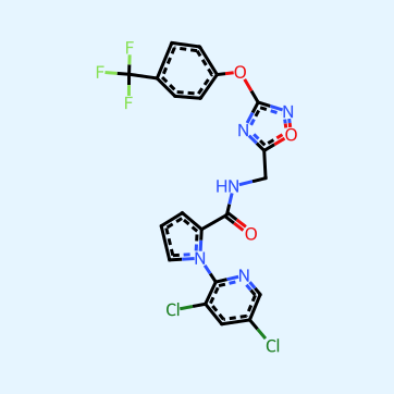 O=C(NCc1nc(Oc2ccc(C(F)(F)F)cc2)no1)c1cccn1-c1ncc(Cl)cc1Cl